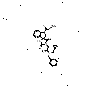 C[C@@H](C1CC1)N(Cc1ccccc1)C(=O)CN1C(=O)NC2(CC(C(=O)OC(C)(C)C)c3ccccc32)C1=O